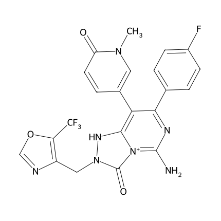 Cn1cc(-c2c(-c3ccc(F)cc3)nc(N)[n+]3c(=O)n(Cc4ncoc4C(F)(F)F)[nH]c23)ccc1=O